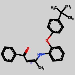 C/C(=C/C(=O)c1ccccc1)Nc1ccccc1Oc1ccc(C(C)(C)C)cc1